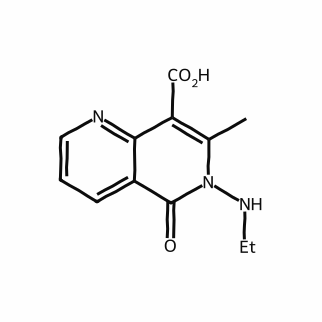 CCNn1c(C)c(C(=O)O)c2ncccc2c1=O